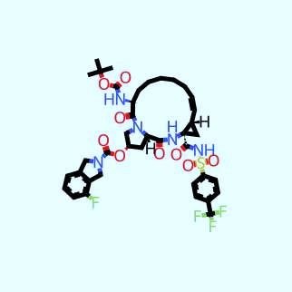 CC(C)(C)OC(=O)N[C@H]1CCCCC/C=C\[C@@H]2C[C@@]2(C(=O)NS(=O)(=O)c2ccc(C(F)(F)F)cc2)NC(=O)[C@@H]2C[C@@H](OC(=O)N3Cc4cccc(F)c4C3)CN2C1=O